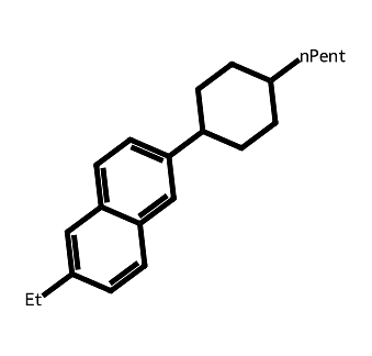 CCCCCC1CCC(c2ccc3cc(CC)ccc3c2)CC1